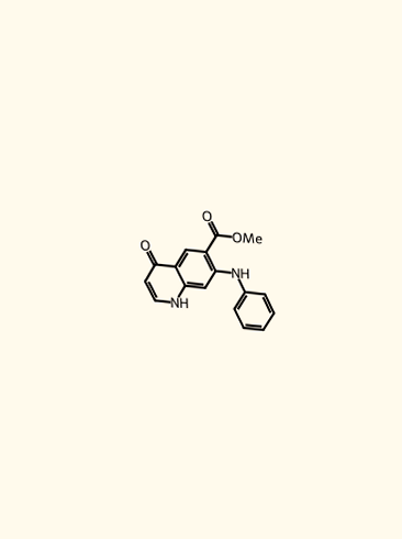 COC(=O)c1cc2c(=O)cc[nH]c2cc1Nc1ccccc1